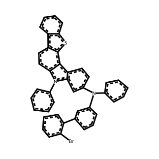 Brc1ccccc1-c1cccc(N(c2ccccc2)c2ccc3c4c5sc6ccccc6c5ccc4n(-c4ccccc4)c3c2)c1